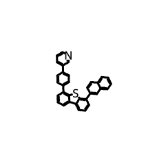 c1cncc(-c2ccc(-c3cccc4c3sc3c(-c5ccc6ccccc6c5)cccc34)cc2)c1